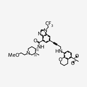 COCCN1CC[C@H](NC(=O)c2cc(C#CCNc3ccc(S(C)(=O)=O)c4c3OCCC4)cc3c2ncn3CC(F)(F)F)[C@@H](C)C1